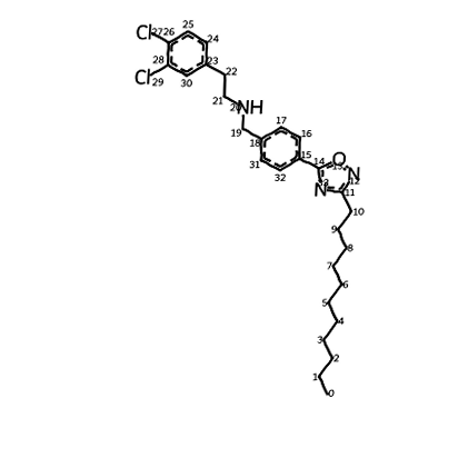 CCCCCCCCCCCc1noc(-c2ccc(CNCCc3ccc(Cl)c(Cl)c3)cc2)n1